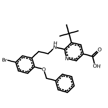 CC(C)(C)c1cc(C(=O)O)cnc1NCCc1cc(Br)ccc1OCc1ccccc1